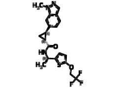 C[C@@H](NC(=O)[C@@H]1C[C@H]1c1ccc2cnn(C)c2c1)c1ccc(OCC(F)(F)F)s1